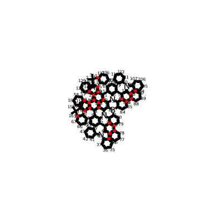 CC(C)(C)c1ccc(N(c2ccc(C(C)(C)C)cc2)c2cc3c4c(c2)N(c2c(-c5cccc6c7ccccc7n(-c7ccccc7)c56)cccc2-c2cccc5c6ccccc6n(-c6ccccc6)c25)c2cc(-c5ccccc5)ccc2B4c2ccc(-c4ccccc4)cc2N3c2c(-c3cccc4c5ccccc5n(-c5ccccc5)c34)cccc2-c2cccc3c4ccccc4n(-c4ccccc4)c23)cc1